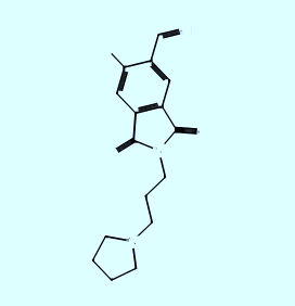 C=Cc1cc2c(cc1C)C(=O)N(CCCN1CCCC1)C2=O